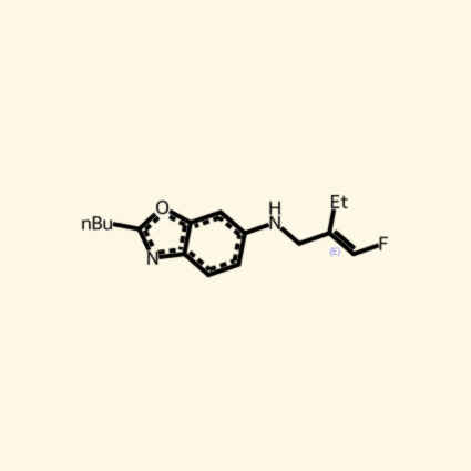 CCCCc1nc2ccc(NC/C(=C/F)CC)cc2o1